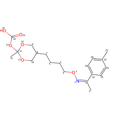 CC(=NOCCCCC1COC(C)(OC(=O)O)OC1)c1ccc(C)cc1